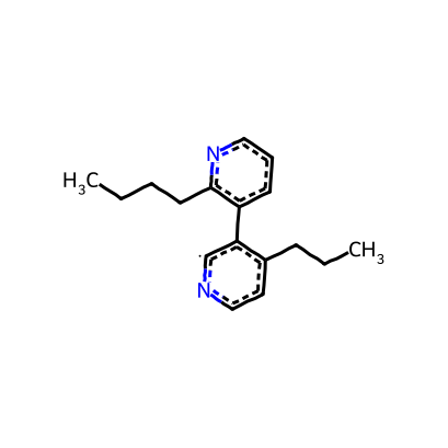 CCCCc1ncccc1-c1[c]nccc1CCC